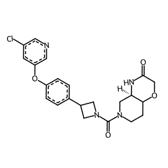 O=C1COC2CCN(C(=O)N3CC(c4ccc(Oc5cncc(Cl)c5)cc4)C3)C[C@H]2N1